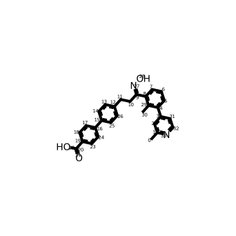 Cc1cc(-c2cccc(/C(CCc3ccc(-c4ccc(C(=O)O)cc4)cc3)=N\O)c2C)ccn1